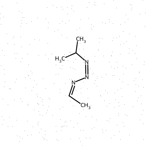 C/C=N\N=N/C(C)C